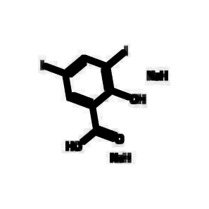 O=C(O)c1cc(I)cc(I)c1O.[NaH].[NaH]